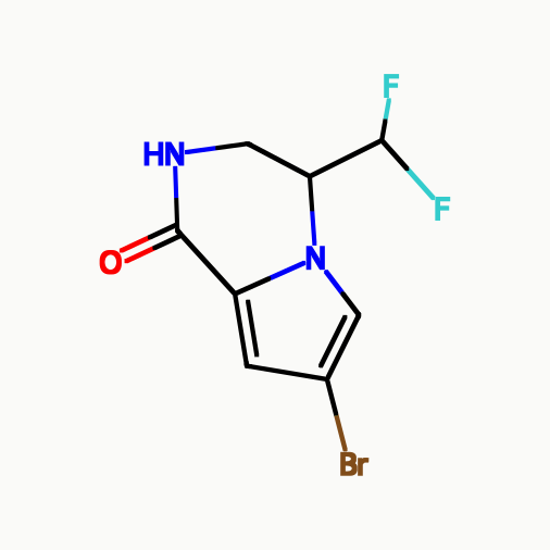 O=C1NCC(C(F)F)n2cc(Br)cc21